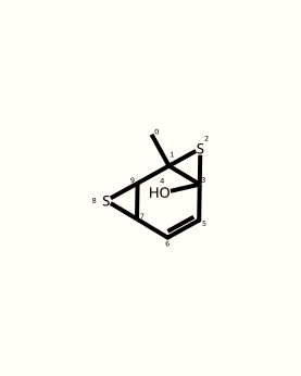 CC12SC1(O)C=CC1SC12